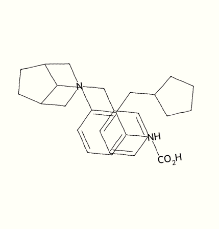 O=C(O)Nc1cccc(CC2C3CCC2CN(Cc2ccccc2)C3)c1CC1CCCC1